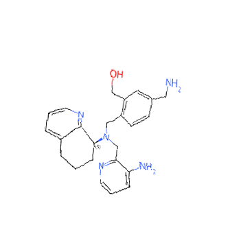 NCc1ccc(CN(Cc2ncccc2N)[C@H]2CCCc3cccnc32)c(CO)c1